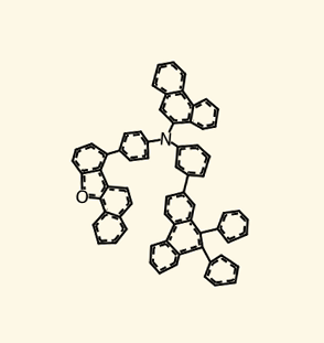 c1ccc(-c2c(-c3ccccc3)c3cc(-c4cccc(N(c5ccc(-c6cccc7oc8c9ccccc9ccc8c67)cc5)c5cc6ccccc6c6ccccc56)c4)ccc3c3ccccc23)cc1